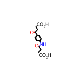 O=C(O)CCC(=O)Nc1ccc(C(=O)CCC(=O)O)cc1